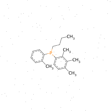 CCCCP(c1ccccc1C)c1ccc(C)c(C)c1C